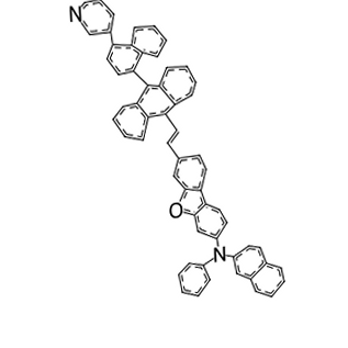 C(=C\c1c2ccccc2c(-c2ccc(-c3cccnc3)c3ccccc23)c2ccccc12)/c1ccc2c(c1)oc1cc(N(c3ccccc3)c3ccc4ccccc4c3)ccc12